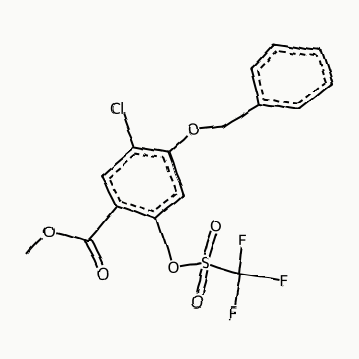 COC(=O)c1cc(Cl)c(OCc2ccccc2)cc1OS(=O)(=O)C(F)(F)F